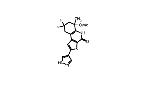 CO[C@@]1(C)CC(F)(F)Cc2c1[nH]c(=O)c1sc(-c3cn[nH]c3)cc21